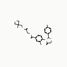 Cc1cc(C(=O)OCC(=O)OCC2(C)COC2)ccc1N1C(=O)CSC1c1ccc(F)cc1